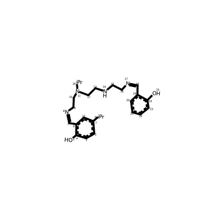 CC(C)c1ccc(O)c(/C=N\CCN(CCNCC/N=C\c2ccccc2O)C(C)C)c1